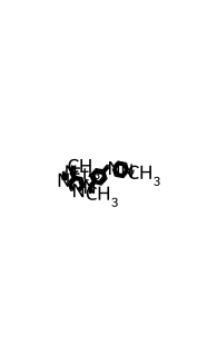 CCc1cc(CN2CCN(C)CC2)ccc1N(C)c1cc2c(cn1)ncn2C